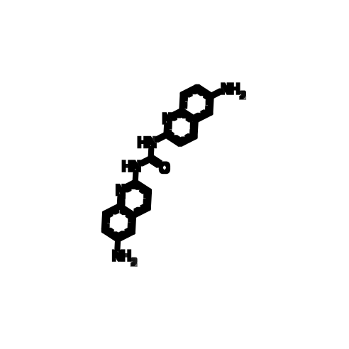 Nc1ccc2nc(NC(=O)Nc3ccc4cc(N)ccc4n3)ccc2c1